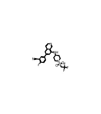 N#Cc1cc(-c2cc(NC3CCN(S(=O)(=O)CC(F)(F)F)CC3)c3cnccc3c2)ccc1F